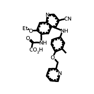 CCOc1cc2ncc(C#N)c(Nc3ccc(OCc4ccccn4)c(C)c3)c2cc1NC(=O)C(=O)O